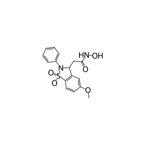 COc1ccc2c(c1)C(CC(=O)NO)N(c1ccccc1)S2(=O)=O